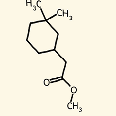 COC(=O)CC1CCCC(C)(C)C1